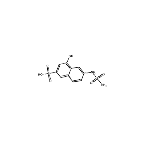 NS(=O)(=O)Nc1ccc2cc(S(=O)(=O)O)cc(O)c2c1